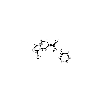 O=C(OCc1ccccc1)N1CC[n+]2noc([O-])c2C1